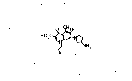 Cc1c(F)c(N2CCC(N)C2)cc2c1c(=O)c(C(=O)O)cn2CCF